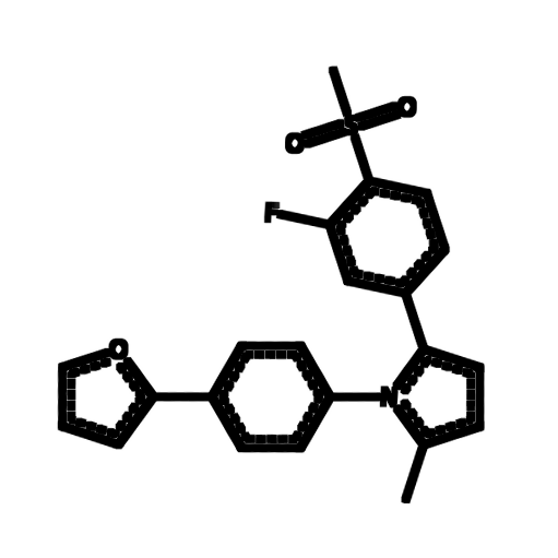 Cc1ccc(-c2ccc(S(C)(=O)=O)c(F)c2)n1-c1ccc(-c2ccco2)cc1